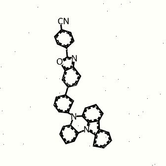 N#Cc1ccc(-c2nc3ccc(-c4cccc(N5c6ccccc6-n6c7ccccc7c7cccc5c76)c4)cc3o2)cc1